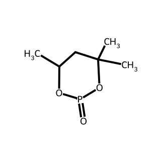 CC1CC(C)(C)O[P](=O)O1